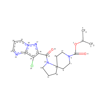 O=C(OC(C(F)(F)F)C(F)(F)F)N1CCC2(CCCN2C(=O)c2nn3cccnc3c2Cl)CC1